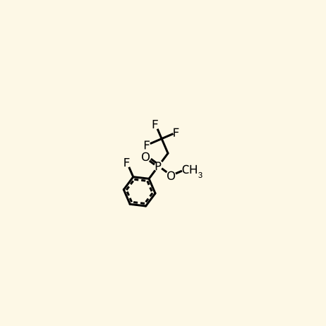 COP(=O)(CC(F)(F)F)c1ccccc1F